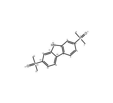 CP(C)(=O)c1ccc2c(c1)[nH]c1cc(P(C)(C)=O)ccc12